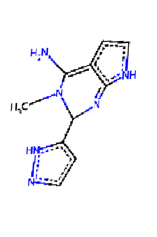 CN1C(N)=c2cc[nH]c2=NC1c1ccn[nH]1